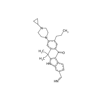 CCCc1cc2c(cc1N1CCN(C3CC3)CC1)C(C)(C)c1[nH]c3cc(C=N)ccc3c1C2=O